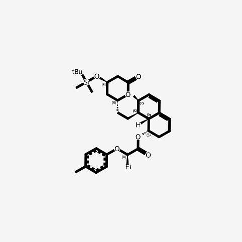 CC[C@@H](Oc1ccc(C)cc1)C(=O)O[C@H]1CCC=C2C=C[C@H](C)[C@H](CC[C@@H]3C[C@@H](O[Si](C)(C)C(C)(C)C)CC(=O)O3)[C@H]21